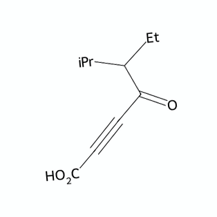 CCC(C(=O)C#CC(=O)O)C(C)C